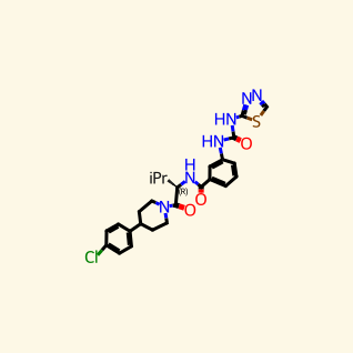 CC(C)[C@@H](NC(=O)c1cccc(NC(=O)Nc2nncs2)c1)C(=O)N1CCC(c2ccc(Cl)cc2)CC1